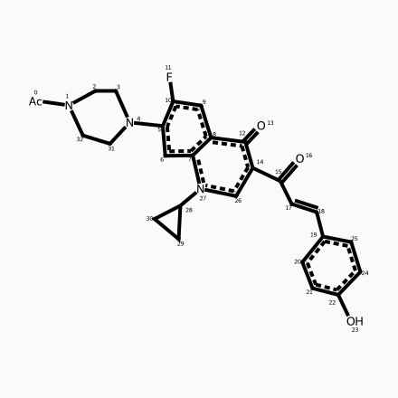 CC(=O)N1CCN(c2cc3c(cc2F)c(=O)c(C(=O)C=Cc2ccc(O)cc2)cn3C2CC2)CC1